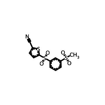 CS(=O)(=O)c1cccc(S(=O)(=O)c2ccc(C#N)s2)c1